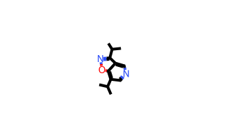 CC(C)c1noc2c(C(C)C)cncc12